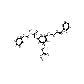 COC(=O)COc1cc(CC(=O)N(C)CCc2ccccc2)cc(OCC=Cc2ccccc2)c1